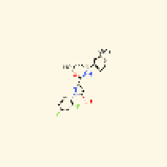 COc1cccc([C@H](CC(=O)O)NC(=O)c2cc(O)n(-c3ccc(F)cc3F)n2)c1